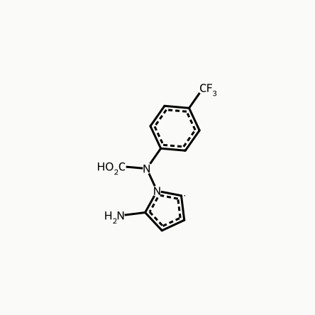 Nc1cc[c]n1N(C(=O)O)c1ccc(C(F)(F)F)cc1